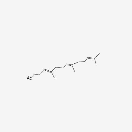 CC(=O)CC/C=C(\C)CC/C=C(\C)CCC=C(C)C